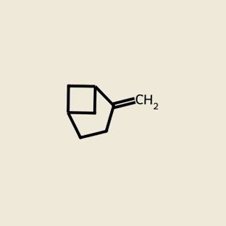 C=C1CCC2CC1C2